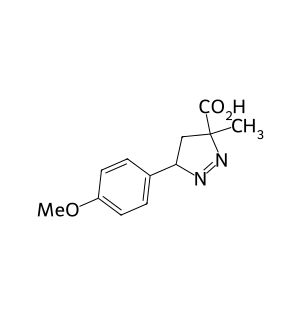 COc1ccc(C2CC(C)(C(=O)O)N=N2)cc1